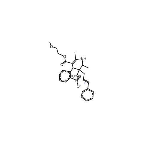 COCCOC(=O)C1=C(C)NC(C)C(C/C=C/c2ccccc2)(C(=O)O)C1c1ccccc1[N+](=O)[O-]